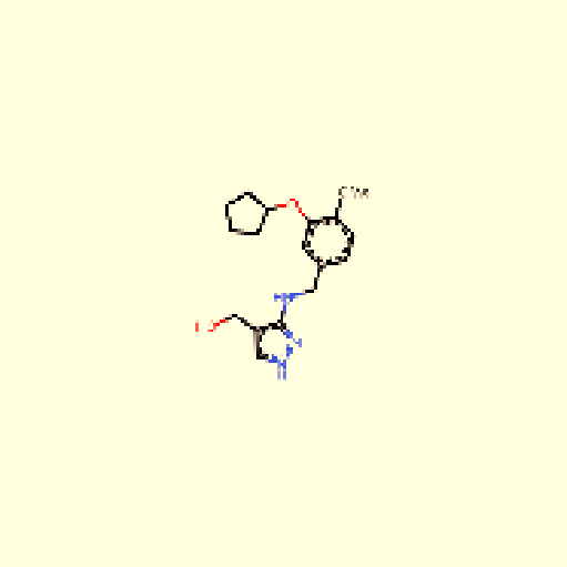 COc1ccc(CNc2n[nH]cc2CO)cc1OC1CCCC1